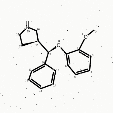 COc1ccccc1O[C@@H](c1ccccc1)[C@H]1CCNC1